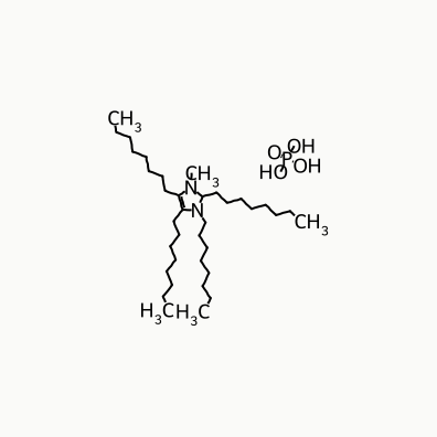 CCCCCCCCC1=C(CCCCCCCC)N(CCCCCCCC)C(CCCCCCCC)N1C.O=P(O)(O)O